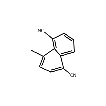 [CH2]c1ccc(C#N)c2cccc(C#N)c12